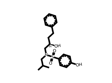 CC(C)CN(C[C@H](O)[CH]Cc1ccccc1)S(=O)(=O)c1ccc(O)cc1